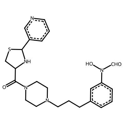 O=CN(O)c1cccc(CCCN2CCN(C(=O)C3CSC(c4cccnc4)N3)CC2)c1